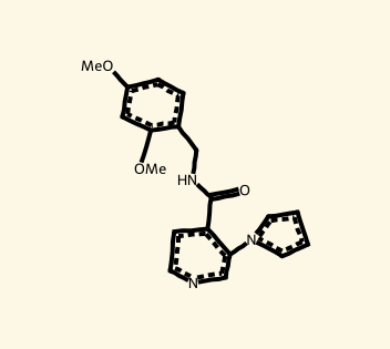 COc1ccc(CNC(=O)c2ccncc2-n2cccc2)c(OC)c1